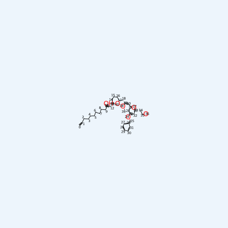 C#CCCCCCCCC[C@@H](O)C[C@@H]1CCCC(C[C@H](CC2C[C@H](OCc3ccccc3)C[C@@H](CC=O)O2)OC)O1